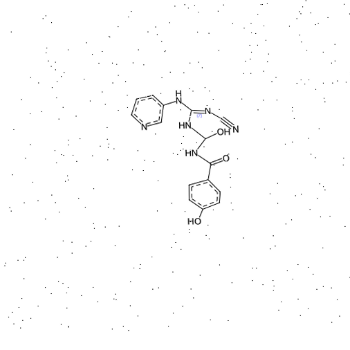 N#C/N=C(/Nc1cccnc1)NC(O)NC(=O)c1ccc(O)cc1